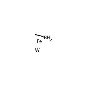 BC.[Fe].[W]